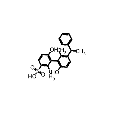 Cc1c(C(C)c2ccccc2)ccc(O)c1-c1c(O)ccc(S(=O)(=O)O)c1C